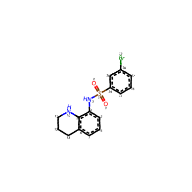 O=S(=O)(Nc1cccc2c1NCCC2)c1cccc(Br)c1